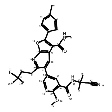 CNC(=O)c1c(-c2ccc(C)cc2)oc2nc(CCC(F)(F)F)c(-c3cnc(OC)c(C(=O)NC(C)(C)C#N)c3)cc12